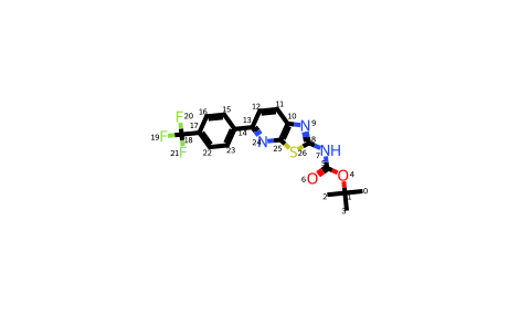 CC(C)(C)OC(=O)Nc1nc2ccc(-c3ccc(C(F)(F)F)cc3)nc2s1